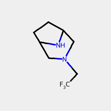 FC(F)(F)CN1CC2CCC(C1)N2